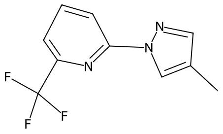 Cc1cnn(-c2cccc(C(F)(F)F)n2)c1